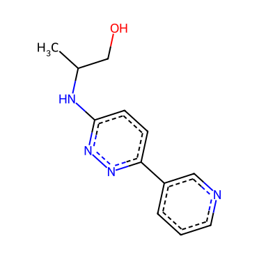 CC(CO)Nc1ccc(-c2cccnc2)nn1